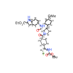 CCOC(=O)c1cc2cc(NC(=O)[C@@H]3[C@@H](c4ccc(OC)cc4)CCN3C(=O)C3CCC([C@@H](CF)NC(=O)OC(C)(C)C)CC3)ccc2[nH]1